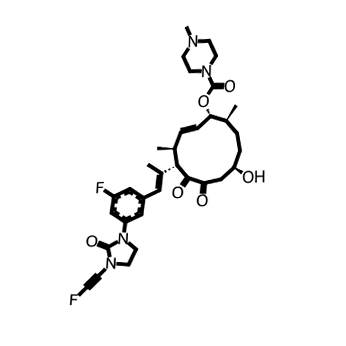 C/C(=C\c1cc(F)cc(N2CCN(C#CF)C2=O)c1)[C@H]1C(=O)C(=O)C[C@H](O)CC[C@H](C)[C@@H](OC(=O)N2CCN(C)CC2)/C=C/[C@@H]1C